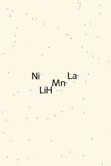 [La].[LiH].[Mn].[Ni]